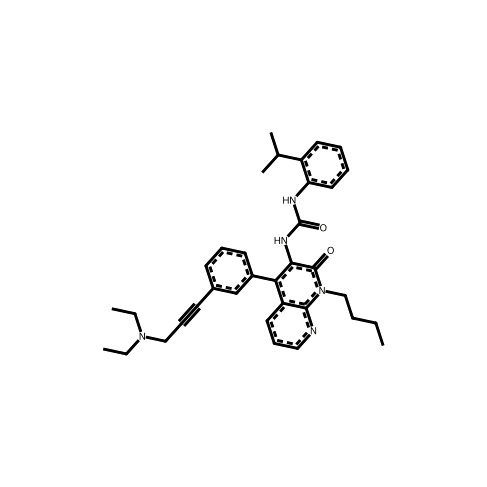 CCCCn1c(=O)c(NC(=O)Nc2ccccc2C(C)C)c(-c2cccc(C#CCN(CC)CC)c2)c2cccnc21